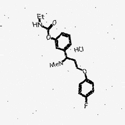 CCNC(=O)Oc1cccc(C(CCOc2ccc(F)cc2)NC)c1.Cl